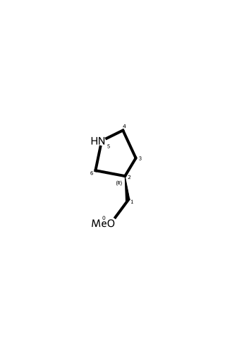 COC[C@@H]1CCNC1